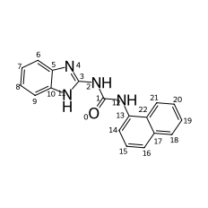 O=C(Nc1nc2ccccc2[nH]1)Nc1cccc2ccccc12